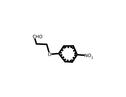 O=CCCOc1ccc([N+](=O)[O-])cc1